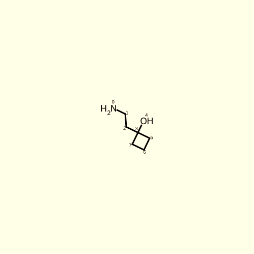 NCCC1(O)CCC1